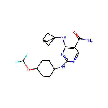 NC(=O)c1cnc(NC2CCC(OC(F)F)CC2)nc1NC12CC(C1)C2